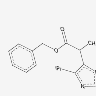 CC(C)c1nc[nH]c1C(C)C(=O)OCc1ccccc1